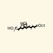 CCCCCCCCCCCCCCCCCC(=O)O.Cl.Cl